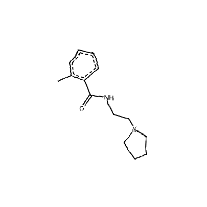 Cc1ccccc1C(=O)NCCN1CCCC1